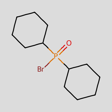 O=P(Br)(C1CCCCC1)C1CCCCC1